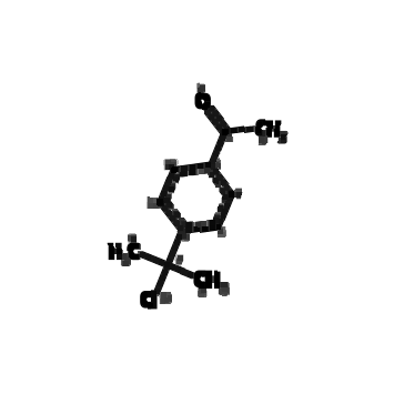 CC(=O)c1ccc(C(C)(C)Cl)cc1